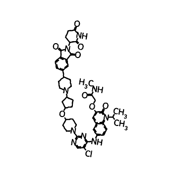 CNC(=O)COc1cc2cc(Nc3nc(N4CCC(OC5CCC(N6CCC(c7ccc8c(c7)C(=O)N(C7CCC(=O)NC7=O)C8=O)CC6)C5)CC4)ncc3Cl)ccc2n(C(C)C)c1=O